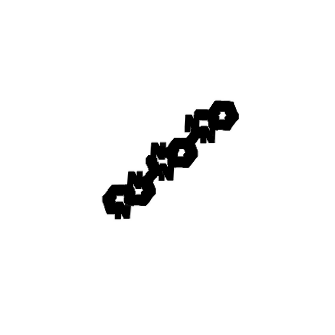 c1ccc2nc(-c3ccc4nc(-c5ccc6ncccc6n5)cnc4c3)ncc2c1